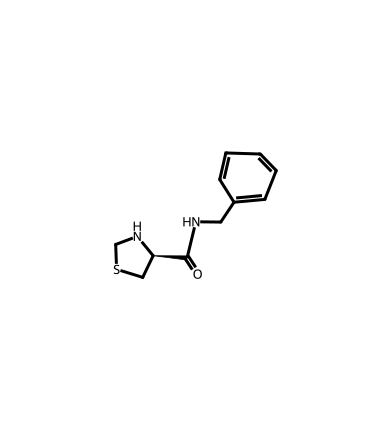 O=C(NCc1ccccc1)[C@H]1CSCN1